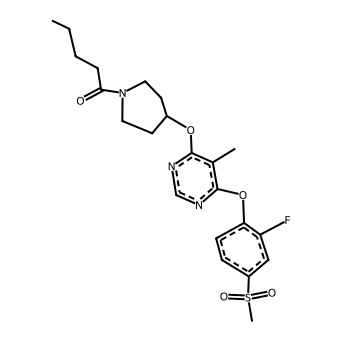 CCCCC(=O)N1CCC(Oc2ncnc(Oc3ccc(S(C)(=O)=O)cc3F)c2C)CC1